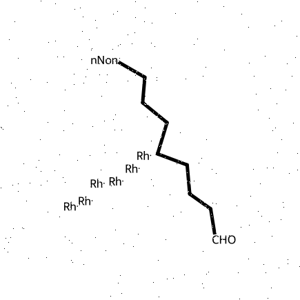 CCCCCCCCCCCCCCCCC=O.[Rh].[Rh].[Rh].[Rh].[Rh].[Rh]